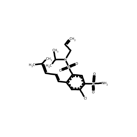 C=CCN(C(C)C)S(=O)(=O)c1cc(S(N)(=O)=O)c(Cl)cc1C=CC=C(C)C